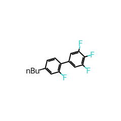 CCCCc1ccc(-c2cc(F)c(F)c(F)c2)c(F)c1